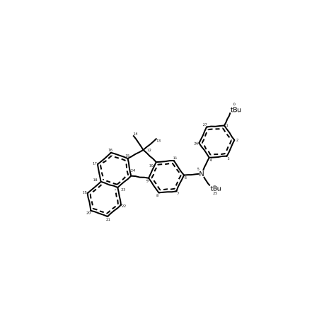 CC(C)(C)c1ccc(N(c2ccc3c(c2)C(C)(C)c2ccc4ccccc4c2-3)C(C)(C)C)cc1